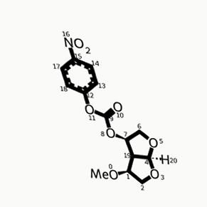 CO[C@@H]1CO[C@@H]2OC[C@H](OC(=O)Oc3ccc([N+](=O)[O-])cc3)C21